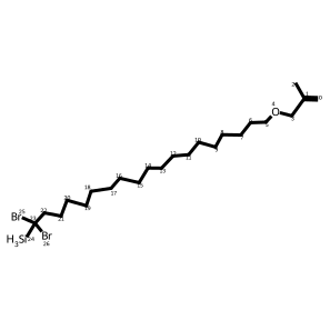 C=C(C)COCCCCCCCCCCCCCCCCCCC([SiH3])(Br)Br